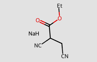 CCOC(=O)C(C#N)CC#N.[NaH]